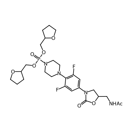 CC(=O)NCC1CN(c2cc(F)c(N3CCN(P(=O)(OCC4CCCO4)OCC4CCCO4)CC3)c(F)c2)C(=O)O1